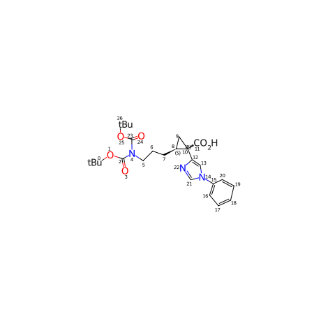 CC(C)(C)OC(=O)N(CCC[C@H]1C[C@]1(C(=O)O)c1cn(-c2ccccc2)cn1)C(=O)OC(C)(C)C